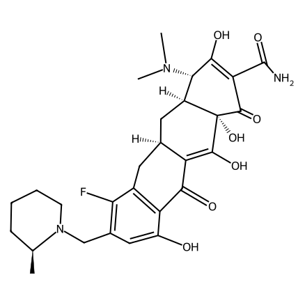 C[C@H]1CCCCN1Cc1cc(O)c2c(c1F)C[C@H]1C[C@H]3[C@H](N(C)C)C(O)=C(C(N)=O)C(=O)[C@@]3(O)C(O)=C1C2=O